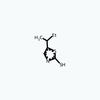 CCC(C)c1cnc(S)s1